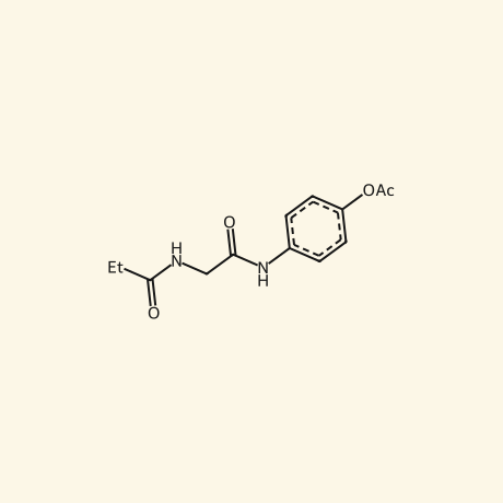 CCC(=O)NCC(=O)Nc1ccc(OC(C)=O)cc1